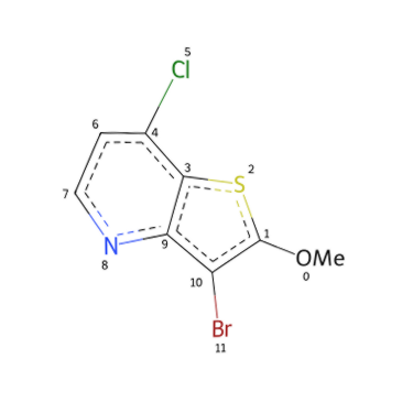 COc1sc2c(Cl)ccnc2c1Br